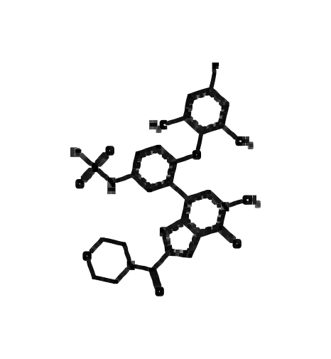 CCS(=O)(=O)Nc1ccc(Oc2c(C)cc(F)cc2C)c(-c2cn(C)c(=O)c3cc(C(=O)N4CCOCC4)sc23)c1